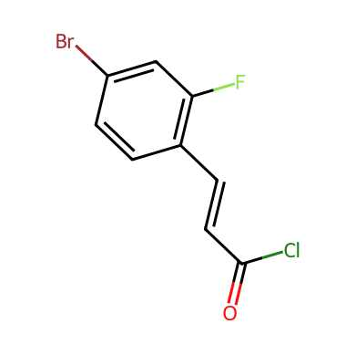 O=C(Cl)C=Cc1ccc(Br)cc1F